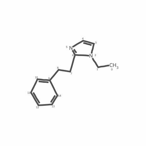 CCn1ccnc1CCc1ccccc1